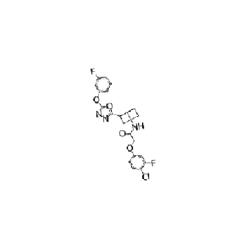 O=C(COc1ccc(Cl)c(F)c1)NC12CC3C1C3(c1nnc(Oc3cccc(F)c3)o1)C2